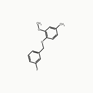 COc1cc(C)ccc1OCc1cccc(F)c1